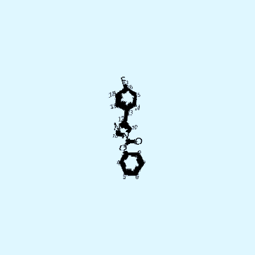 O=C(Oc1ccccc1)n1cnc(-c2ccc(F)cc2)c1